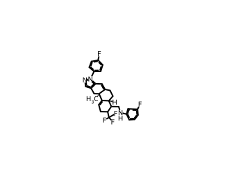 C[C@]12Cc3cnn(-c4ccc(F)cc4)c3C=C1CC[C@H]1C2=CCC(C(F)(F)F)C1CNc1cccc(F)c1